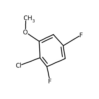 COc1cc(F)cc(F)c1Cl